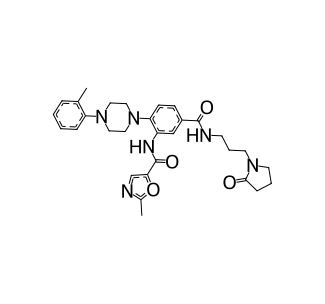 Cc1ncc(C(=O)Nc2cc(C(=O)NCCCN3CCCC3=O)ccc2N2CCN(c3ccccc3C)CC2)o1